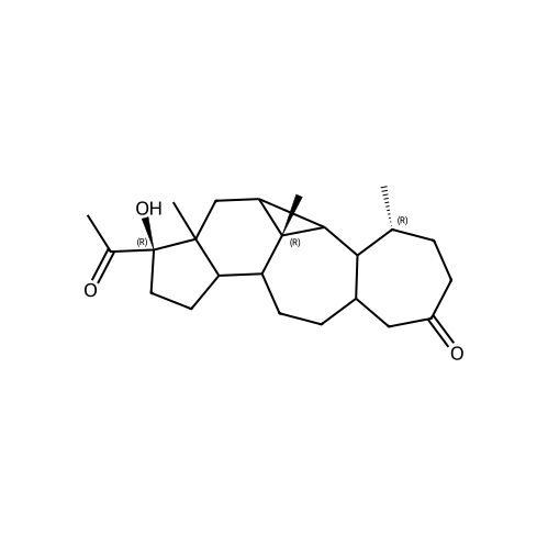 CC(=O)[C@@]1(O)CCC2C3CCC4CC(=O)CC[C@@H](C)C4C4C(CC21C)[C@@]34C